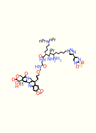 CCCN(CCC)CCCC[C@H](C(=O)NCC(=O)NCOC/C=C/c1c2c(nc3cc4c(cc13)OCO4)-c1cc3c(c(=O)n1C2)COC(=O)[C@]3(O)CC)C(N)[C@@H](C(C)C)C(N)CCCCCn1cc(-c2cnc(S(C)(=O)=O)nc2)nn1